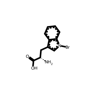 N[C@@H](Cc1cn(Br)c2ccccc12)C(=O)O